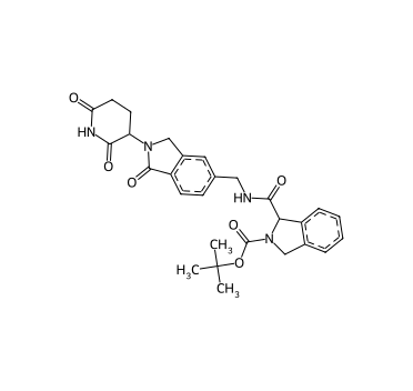 CC(C)(C)OC(=O)N1Cc2ccccc2C1C(=O)NCc1ccc2c(c1)CN(C1CCC(=O)NC1=O)C2=O